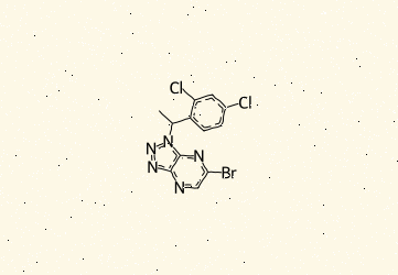 CC(c1ccc(Cl)cc1Cl)n1nnc2ncc(Br)nc21